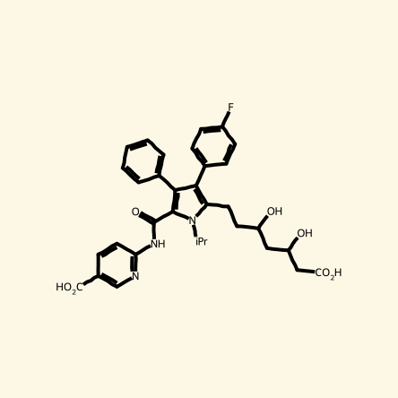 CC(C)n1c(CCC(O)CC(O)CC(=O)O)c(-c2ccc(F)cc2)c(-c2ccccc2)c1C(=O)Nc1ccc(C(=O)O)cn1